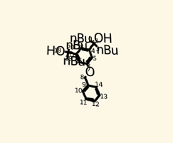 CCCCC(O)(CCCC)c1cc(OCc2ccccc2)cc(C(O)(CCCC)CCCC)c1